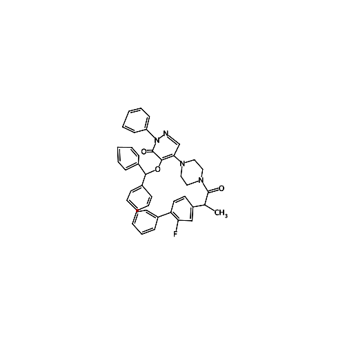 CC(C(=O)N1CCN(c2cnn(-c3ccccc3)c(=O)c2OC(c2ccccc2)c2ccccc2)CC1)c1ccc(-c2ccccc2)c(F)c1